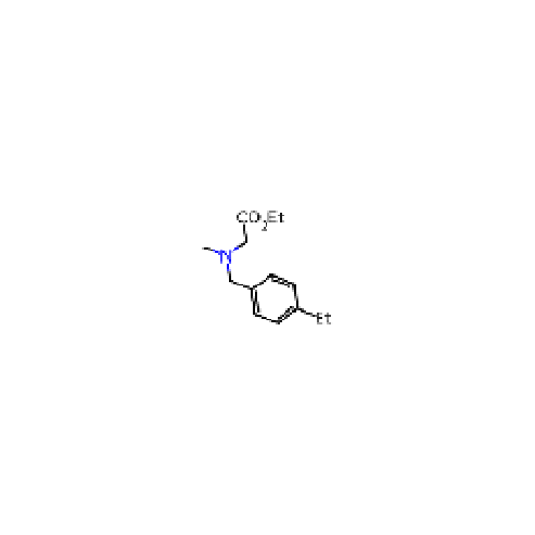 CCOC(=O)CN(C)Cc1ccc(CC)cc1